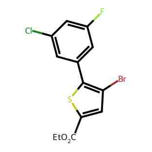 CCOC(=O)c1cc(Br)c(-c2cc(F)cc(Cl)c2)s1